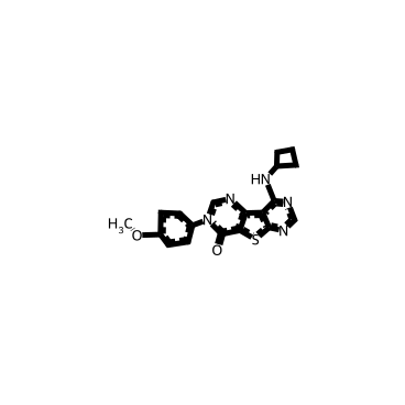 COc1ccc(-n2cnc3c(sc4ncnc(NC5CCC5)c43)c2=O)cc1